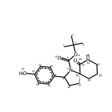 CC(C)(C)OC(=O)N1C(c2ccc(O)cc2)CC[C@]12CCCNC2=O